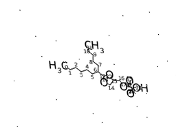 CCCCCCC(CCCCC)C1OCC(COS(=O)(=O)O)O1